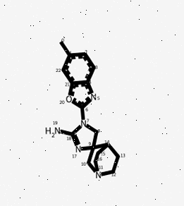 Cc1ccc2nc(N3CC4(CN5CCC4CC5)N=C3N)oc2c1